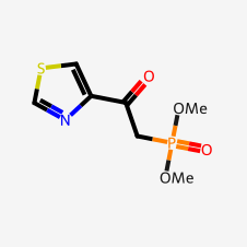 COP(=O)(CC(=O)c1cscn1)OC